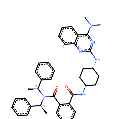 C[C@@H](c1ccccc1)N(C(=O)c1ccccc1C(=O)N[C@H]1CC[C@@H](Nc2nc(N(C)C)c3ccccc3n2)CC1)[C@@H](C)c1ccccc1